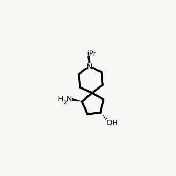 CC(C)N1CCC2(CC1)C[C@H](O)C[C@H]2N